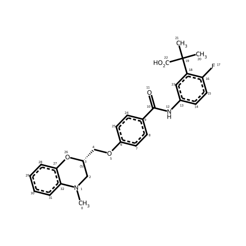 CN1C[C@@H](COc2ccc(C(=O)Nc3ccc(F)c(C(C)(C)C(=O)O)c3)cc2)Oc2ccccc21